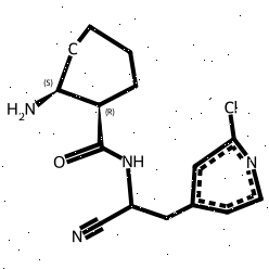 N#CC(Cc1ccnc(Cl)c1)NC(=O)[C@@H]1CCCC[C@@H]1N